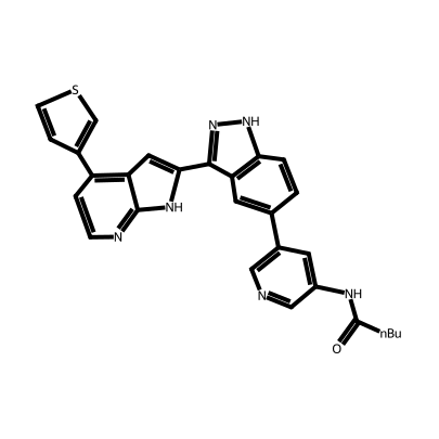 CCCCC(=O)Nc1cncc(-c2ccc3[nH]nc(-c4cc5c(-c6ccsc6)ccnc5[nH]4)c3c2)c1